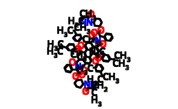 C=C(C)C(=O)NC1CCCC(OC(=O)C(c2ccccc2)N2C(=O)c3cc(Oc4ccc(C(C)C)cc4C)c4c5c(Oc6ccc(C(C)C)cc6C)cc6c7c(cc(Oc8ccc(C(C)C)cc8C)c(c8c(Oc9ccc(C(C)C)cc9C)cc(c3c48)C2=O)c75)C(=O)N(C(C(=O)OC2CCCC(NC(=O)C(=C)C)C2)c2ccccc2)C6=O)C1